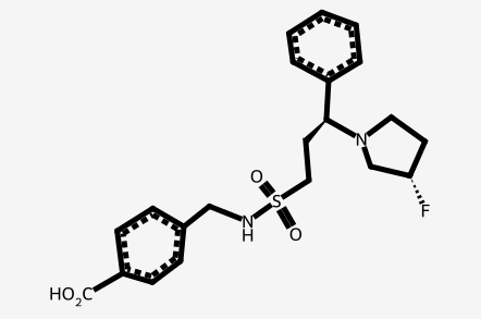 O=C(O)c1ccc(CNS(=O)(=O)CC[C@@H](c2ccccc2)N2CC[C@H](F)C2)cc1